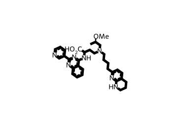 CO[C@H](C)CN(CCCCc1ccc2c(n1)NCCC2)CCC(Nc1nc(-c2cccnc2)nc2ccccc12)C(=O)O